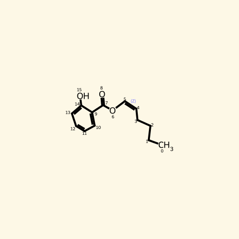 CCCC/C=C\OC(=O)c1ccccc1O